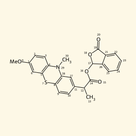 COc1ccc2c(c1)Sc1ccc(C(C)C(=O)OC3OC(=O)c4ccccc43)cc1N2C